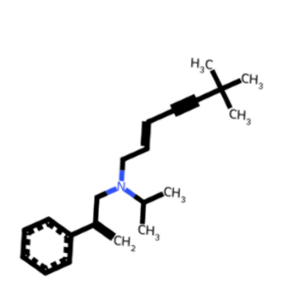 C=C(CN(CC=CC#CC(C)(C)C)C(C)C)c1ccccc1